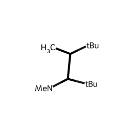 CNC(C(C)C(C)(C)C)C(C)(C)C